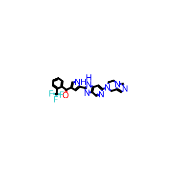 O=C(c1c[nH]c(-c2nc3cnc(N4CCn5cncc5C4)cc3[nH]2)c1)c1ccccc1C(F)(F)F